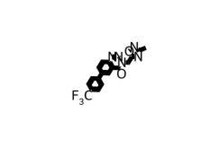 Cc1noc(Cn2nnc3ccc(-c4ccc(C(F)(F)F)cc4)cc3c2=O)n1